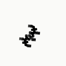 CC(C)(CO)[C@@H](O)C(=O)OP(=O)(O)OC(=O)[C@H](O)C(C)(C)CO